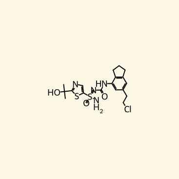 CC(C)(O)c1ncc([S@](N)(=O)=NC(=O)Nc2cc(CCCl)cc3c2CCC3)s1